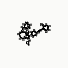 COC[C@H]1[C@@H](c2ccc(C#Cc3ccccc3F)cc2)[C@@H]2CN(Cc3cncnc3)CCCCN12